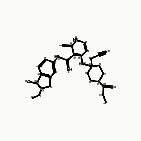 CCN1Cc2cc(NC(=N)c3c(NC4(CC#N)CCN(C(=O)OC)CC4)cc[nH]c3=O)ccc2[S+]1[O-]